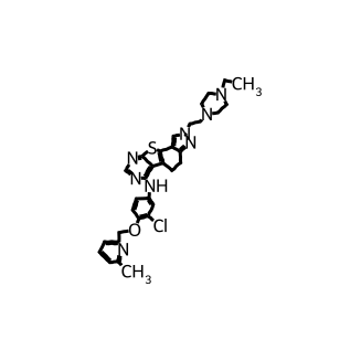 CCN1CCN(CCn2cc3c(n2)CCc2c-3sc3ncnc(Nc4ccc(OCc5cccc(C)n5)c(Cl)c4)c23)CC1